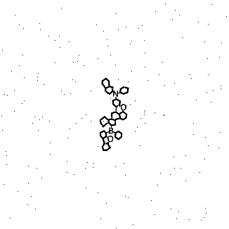 c1ccc(B(c2cc3c4cccc5c4c(cc3c3ccccc23)-c2ccc(N(c3ccccc3)c3ccc4ccccc4c3)cc2O5)c2cccc3c2oc2ccccc23)cc1